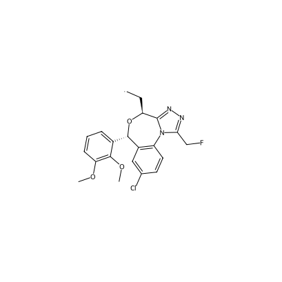 [CH2]C[C@@H]1O[C@@H](c2cccc(OC)c2OC)c2cc(Cl)ccc2-n2c(CF)nnc21